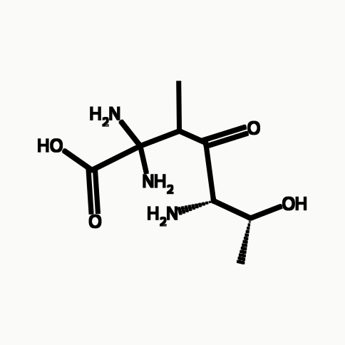 CC(C(=O)[C@@H](N)[C@@H](C)O)C(N)(N)C(=O)O